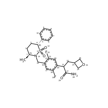 C[C@H]1CC[C@H](c2ccccc2)S(=O)(=O)N1Cc1cc(F)c(C(CC2COC2)C(N)=O)cc1F